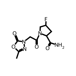 Cc1nn(CC(=O)N2CC(F)CC2C(N)=O)c(=O)o1